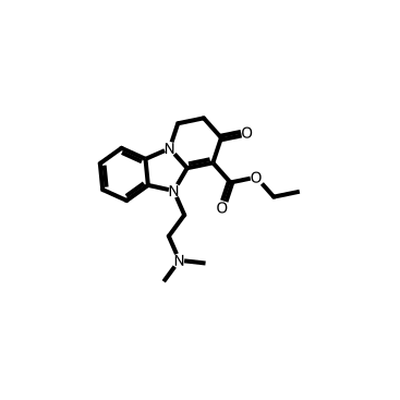 CCOC(=O)C1=C2N(CCC1=O)c1ccccc1N2CCN(C)C